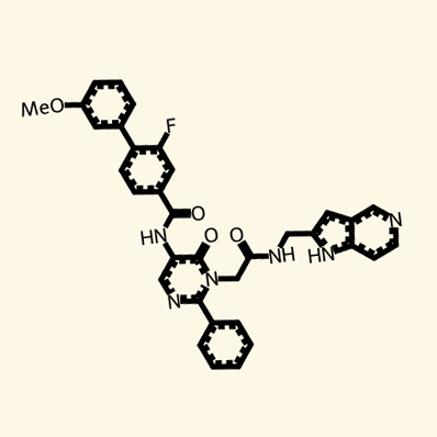 COc1cccc(-c2ccc(C(=O)Nc3cnc(-c4ccccc4)n(CC(=O)NCc4cc5cnccc5[nH]4)c3=O)cc2F)c1